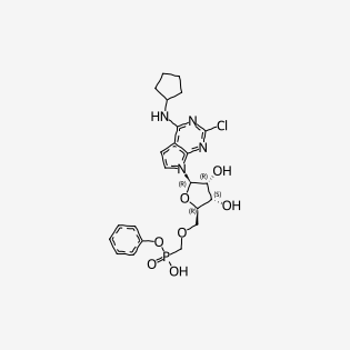 O=P(O)(COC[C@H]1O[C@@H](n2ccc3c(NC4CCCC4)nc(Cl)nc32)[C@H](O)[C@@H]1O)Oc1ccccc1